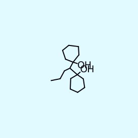 CCCC(C1(O)CCCCC1)C1(O)CCCCC1